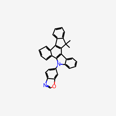 CC1(C)c2ccccc2-c2c1c1c3ccccc3n(-c3ccc4ncoc4c3)c1c1ccccc21